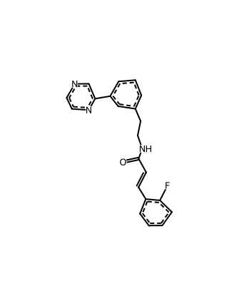 O=C(C=Cc1ccccc1F)NCCc1cccc(-c2cnccn2)c1